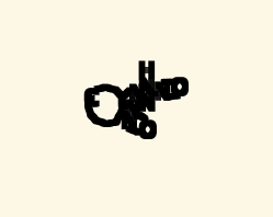 C1CCCCC2=C(N=C3N=C(N4CCOCC4)NN3C2)C(N2CCOCC2)CCCC1